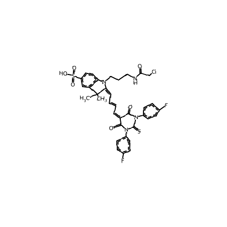 CC1(C)/C(=C\C=C\C=C2C(=O)N(c3ccc(F)cc3)C(=S)N(c3ccc(F)cc3)C2=O)N(CCCNC(=O)CCl)c2ccc(S(=O)(=O)O)cc21